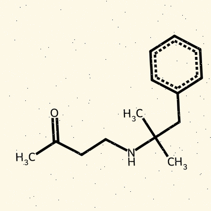 CC(=O)CCNC(C)(C)Cc1ccccc1